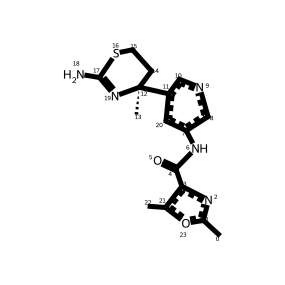 Cc1nc(C(=O)Nc2cncc([C@]3(C)CCSC(N)=N3)c2)c(C)o1